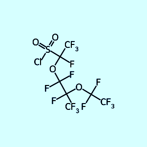 O=S(=O)(Cl)C(F)(OC(F)(F)C(F)(OC(F)(F)C(F)(F)F)C(F)(F)F)C(F)(F)F